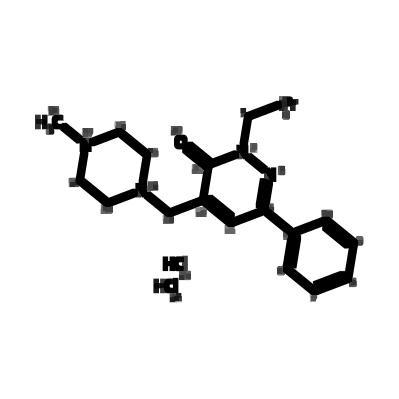 CC(C)Cn1nc(-c2ccccc2)cc(CN2CCN(C)CC2)c1=O.Cl.Cl